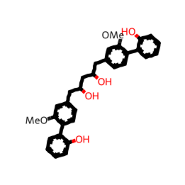 COc1cc(CC(O)CC(O)Cc2ccc(-c3ccccc3O)c(OC)c2)ccc1-c1ccccc1O